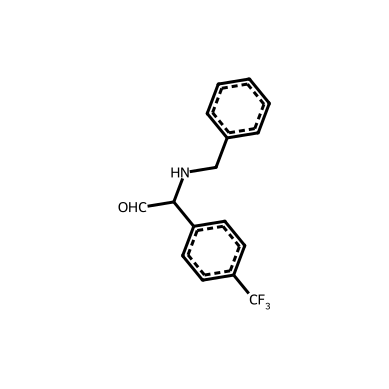 O=CC(NCc1ccccc1)c1ccc(C(F)(F)F)cc1